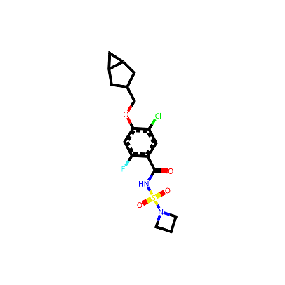 O=C(NS(=O)(=O)N1CCC1)c1cc(Cl)c(OCC2CC3CC3C2)cc1F